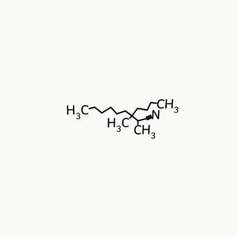 CCCCCCC(C)(CCCC)C(C)C#N